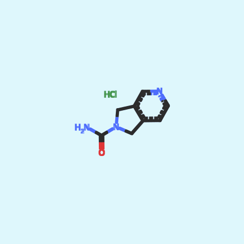 Cl.NC(=O)N1Cc2ccncc2C1